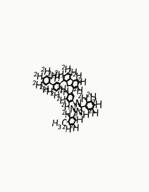 [2H]c1c(-c2nc(-c3c([2H])c([2H])c([2H])c([2H])c3[2H])nc(-c3c([2H])c([2H])c([2H])c(C)c3[2H])n2)cc(-c2c([2H])c([2H])c([2H])c3c2Cc2c(-c4c([2H])c([2H])c([2H])c(-c5c([2H])c([2H])c([2H])c([2H])c5[2H])c4[2H])c([2H])c([2H])c([2H])c2-3)c([2H])c1[2H]